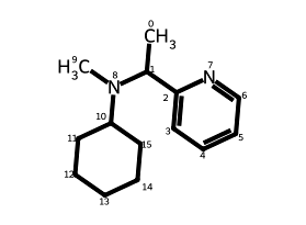 CC(c1ccccn1)N(C)C1CCCCC1